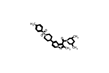 Cc1ccc(S(=O)(=O)N2CCC(c3ccn4nc(C)c(C(=O)N5CC(C)CC(C)C5)c4c3)CC2)cc1